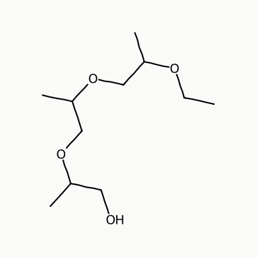 CCOC(C)COC(C)COC(C)CO